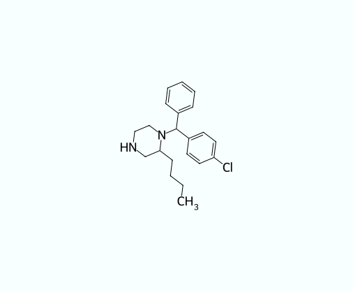 CCCCC1CNCCN1C(c1ccccc1)c1ccc(Cl)cc1